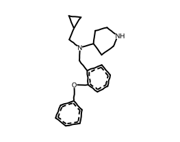 c1ccc(Oc2ccccc2CN(CC2CC2)C2CCNCC2)cc1